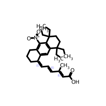 CCC1(CC)CCC(CC)(CC)c2c1cc1c(c2[N+](=O)[O-])CCC/C1=C/C=C/C(C)=C/C(=O)O